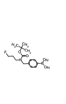 CC(C)(C)OC(=O)N(CCCF)Cc1ccc(B(O)O)cc1